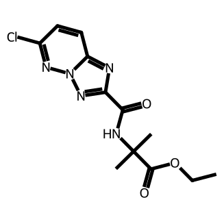 CCOC(=O)C(C)(C)NC(=O)c1nc2ccc(Cl)nn2n1